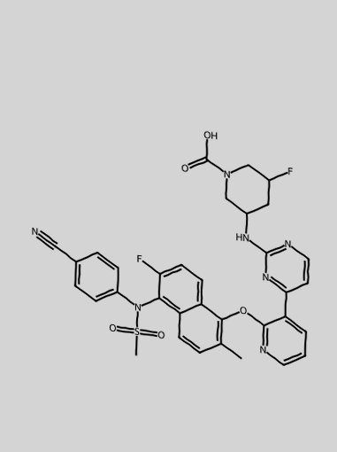 Cc1ccc2c(N(c3ccc(C#N)cc3)S(C)(=O)=O)c(F)ccc2c1Oc1ncccc1-c1ccnc(NC2CC(F)CN(C(=O)O)C2)n1